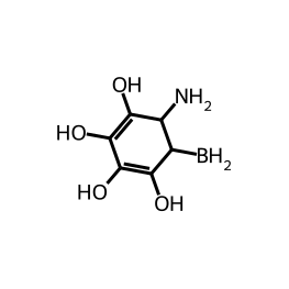 BC1C(O)=C(O)C(O)=C(O)C1N